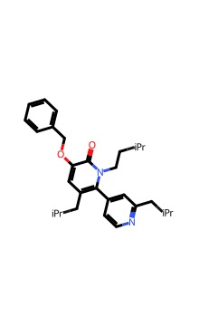 CC(C)CCn1c(-c2ccnc(CC(C)C)c2)c(CC(C)C)cc(OCc2ccccc2)c1=O